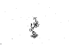 C#CCN(CCOP(=O)([O-])OCC[N+](C)(C)C)C(=O)c1cnc(S(C)(=O)=O)c([N+](=O)[O-])c1